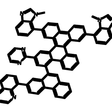 Cn1cnc2cccc(-c3ccc4c5ccc(-c6cccc7ncn(C)c67)cc5c5c6cc(-c7ncccn7)cc(-c7cc8ccccc8c8ccc(-c9cccc%10cccnc9%10)cc78)c6c6ccccc6c5c4c3)c21